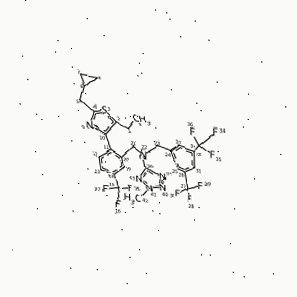 CCc1sc(CC2CC2)nc1-c1ccc(C(F)(F)F)cc1CN(Cc1cc(C(F)(F)F)cc(C(F)(F)F)c1)c1nnn(C)n1